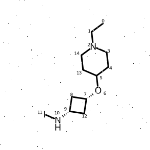 CCN1CCC(O[C@H]2C[C@@H](NI)C2)CC1